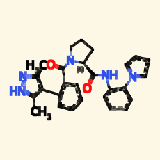 Cc1n[nH]c(C)c1-c1ccccc1C(=O)N1CCC[C@H]1C(=O)Nc1ccccc1-n1cccc1